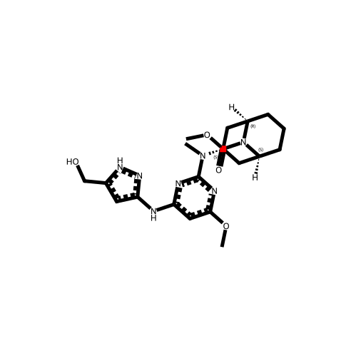 COC(=O)N1[C@@H]2CCC[C@H]1C[C@H](N(C)c1nc(Nc3cc(CO)[nH]n3)cc(OC)n1)C2